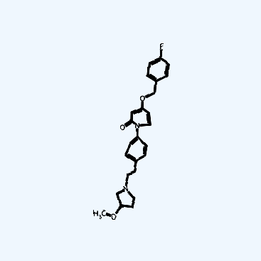 COC1CCN(CCc2ccc(-n3ccc(OCc4ccc(F)cc4)cc3=O)cc2)C1